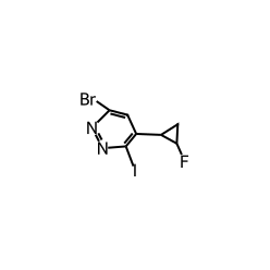 FC1CC1c1cc(Br)nnc1I